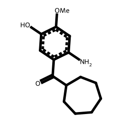 COc1cc(N)c(C(=O)C2CCCCCC2)cc1O